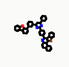 c1ccc(-c2cc(-c3cccc(-c4cccc5c4oc4ccccc45)c3)nc(-c3ccc(-c4nc5ccc6ccccc6c5c5sc6ccccc6c45)cc3)n2)cc1